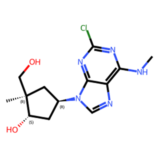 CNc1nc(Cl)nc2c1ncn2[C@H]1C[C@H](O)[C@@](C)(CO)C1